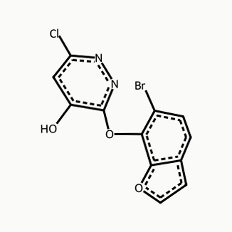 Oc1cc(Cl)nnc1Oc1c(Br)ccc2ccoc12